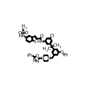 CC(C)Oc1cc(CN2CCN(c3nnc(C(C)C)o3)CC2)cc(C(C)(C)c2cc(Cl)cc(NC(=O)c3cc4cc(NS(C)(=O)=O)ccc4s3)c2)c1